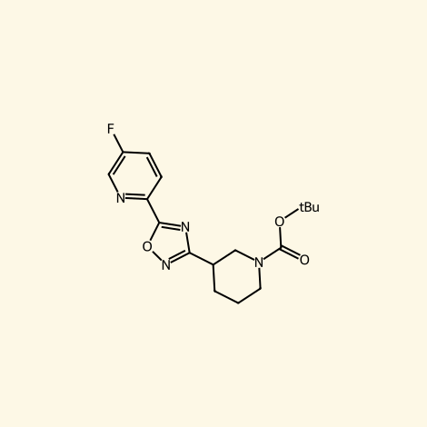 CC(C)(C)OC(=O)N1CCCC(c2noc(-c3ccc(F)cn3)n2)C1